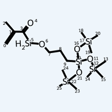 C=C(C)C(=O)[SiH2]OCCC[Si](O[Si](C)(C)C)(O[Si](C)(C)C)O[Si](C)(C)C